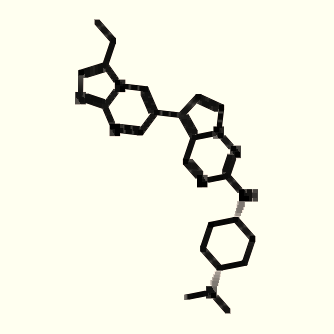 CCc1cnc2ncc(-c3ccn4nc(N[C@H]5CC[C@@H](N(C)C)CC5)ncc34)cn12